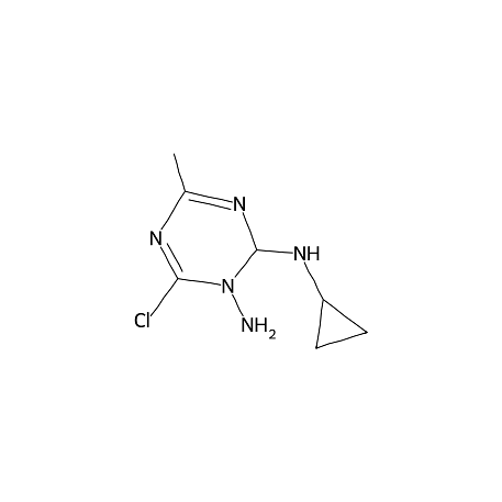 CC1=NC(NC2CC2)N(N)C(Cl)=N1